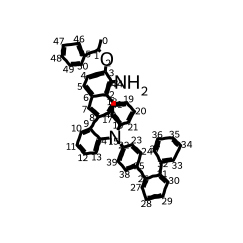 CC(Oc1ccc2cc(-c3ccccc3N(c3ccccc3)c3ccc(-c4ccccc4-c4ccccc4)cc3)ccc2c1N)c1ccccc1